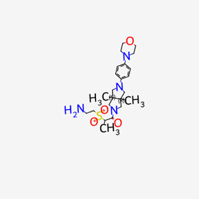 CC(C(=O)N1C[C@@]2(C)CN(c3ccc(N4CCOCC4)cc3)C[C@@]2(C)C1)S(=O)(=O)CCN